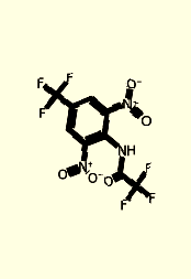 O=C(Nc1c([N+](=O)[O-])cc(C(F)(F)F)cc1[N+](=O)[O-])C(F)(F)F